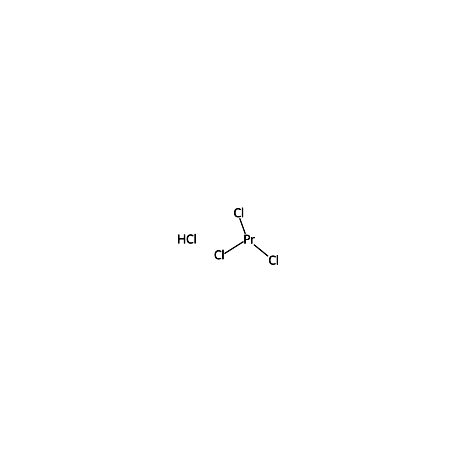 Cl.[Cl][Pr]([Cl])[Cl]